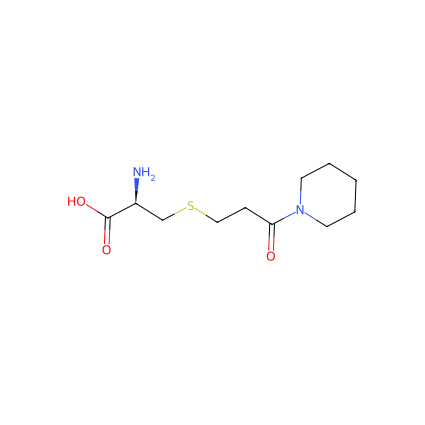 N[C@@H](CSCCC(=O)N1CCCCC1)C(=O)O